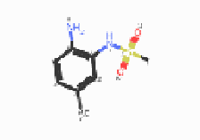 CC(=O)c1ccc(N)c(NS(C)(=O)=O)c1